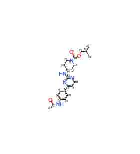 CC(=O)Nc1ccc(-c2ccnc(NC3CCN(C(=O)OCC(C)C)CC3)n2)cc1